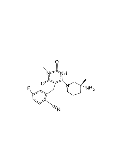 Cn1c(=O)[nH]c(N2CCC[C@@](C)(N)C2)c(Cc2cc(F)ccc2C#N)c1=O